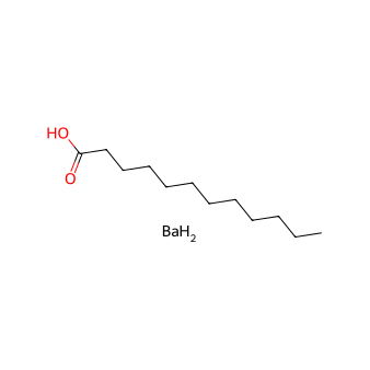 CCCCCCCCCCCC(=O)O.[BaH2]